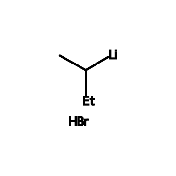 Br.[Li][CH](C)CC